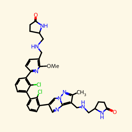 COc1nc(-c2cccc(-c3cccc(-c4cnc5c(CNCC6CCC(=O)N6)c(C)nn5c4)c3Cl)c2Cl)ccc1CNCC1CCC(=O)N1